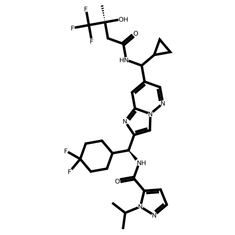 CC(C)n1nccc1C(=O)N[C@H](c1cn2ncc(C(NC(=O)C[C@](C)(O)C(F)(F)F)C3CC3)cc2n1)C1CCC(F)(F)CC1